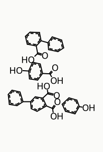 O=C(O)c1ccc(-c2ccccc2)cc1C(=O)O.O=C(O)c1ccc(O)cc1.O=C(O)c1ccccc1-c1ccccc1.Oc1ccccc1